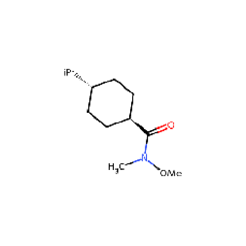 CON(C)C(=O)[C@H]1CC[C@H](C(C)C)CC1